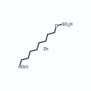 CCCCCCCCCCCCCCCCOS(=O)(=O)O.[Zn]